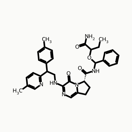 CCC(OC(NC(=O)[C@@H]1CCc2cnc(NCC(c3ccc(C)cc3)c3ccc(C)cn3)c(=O)n21)c1ccccc1)C(N)=O